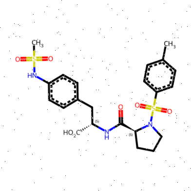 Cc1ccc(S(=O)(=O)N2CCC[C@H]2C(=O)N[C@@H](Cc2ccc(NS(C)(=O)=O)cc2)C(=O)O)cc1